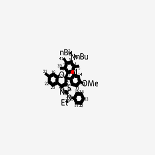 CCCCN(CCCC)c1c(C)cc(C2(c3ccc(OC)cc3Cl)Oc3cc(C)ccc3-c3nc(N(CC)c4ccccc4)sc32)c(C)c1C